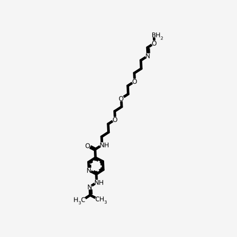 BOC=NCCCOCCOCCOCCCNC(=O)c1ccc(NN=C(C)C)nc1